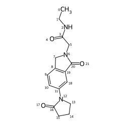 CCNC(=O)CN1Cc2ccc(N3CCCC3=O)cc2C1=O